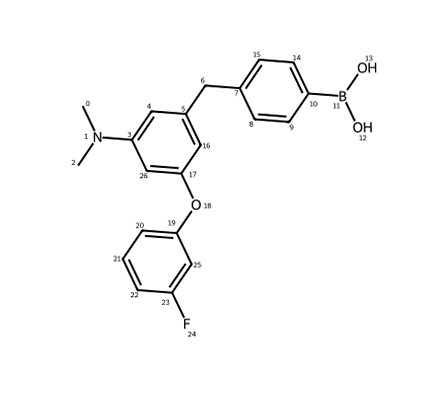 CN(C)c1cc(Cc2ccc(B(O)O)cc2)cc(Oc2cccc(F)c2)c1